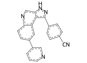 N#Cc1ccc(-c2n[nH]c3cnc4ccc(-c5cccnc5)cc4c23)cc1